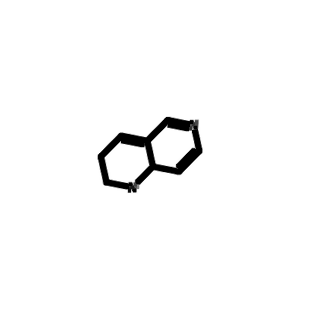 C1=CC2[N]CCC=C2C=N1